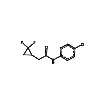 O=C(CC1CC1(F)F)Nc1ccc(Cl)cc1